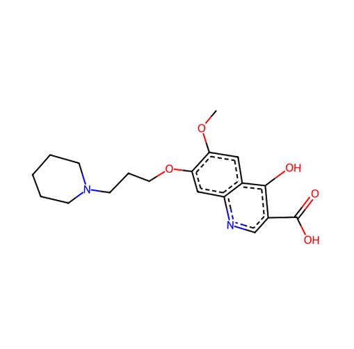 COc1cc2c(O)c(C(=O)O)cnc2cc1OCCCN1CCCCC1